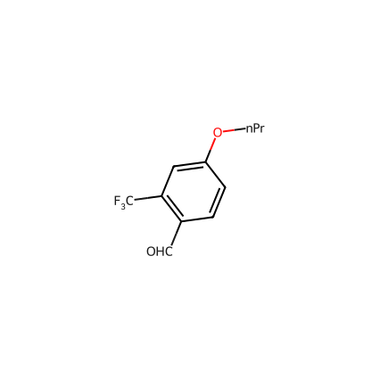 CCCOc1ccc(C=O)c(C(F)(F)F)c1